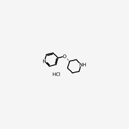 Cl.c1cc(O[C@H]2CCCNC2)ccn1